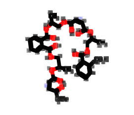 COC(=O)/C=C\C(=O)OC(C)COC(=O)c1ccccc1C(=O)OC(C)COC(=O)/C=C\C(=O)OC(C)COC(=O)c1ccccc1C(=O)O